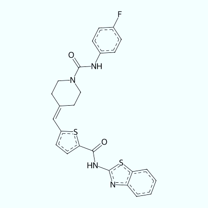 O=C(Nc1nc2ccccc2s1)c1ccc(C=C2CCN(C(=O)Nc3ccc(F)cc3)CC2)s1